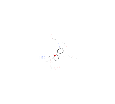 COCCCN1CCOc2ccc(CO[C@H]3CNCC[C@]3(OCC(C)O)c3ccc(COCCOC)cc3)cc21